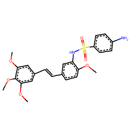 COc1ccc(C=Cc2cc(OC)c(OC)c(OC)c2)cc1NS(=O)(=O)c1ccc(N)cc1